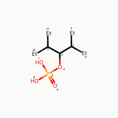 CCC(CC)C(OP(=O)(O)O)C(CC)CC